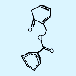 O=C1CC=CC=C1OOC(=O)c1ccccc1